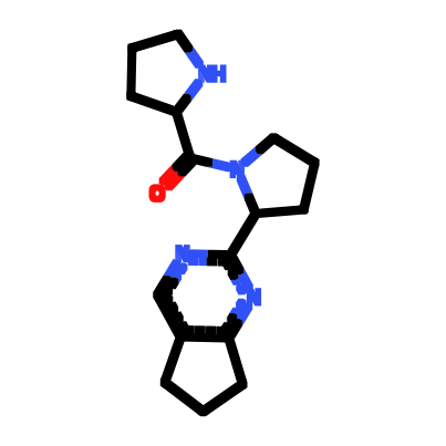 O=C(C1CCCN1)N1CCCC1c1ncc2c(n1)CCC2